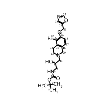 CC(C)(C)OC(=O)NCC(O)CN1CCc2c(ccc(OCc3cnco3)c2Br)C1